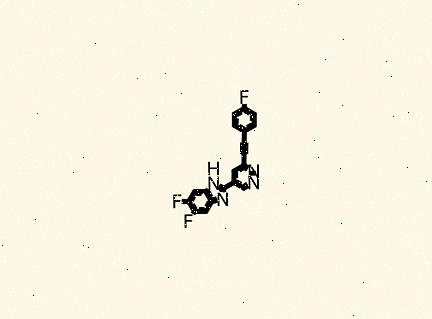 Fc1ccc(C#Cc2cc(-c3nc4cc(F)c(F)cc4[nH]3)cnn2)cc1